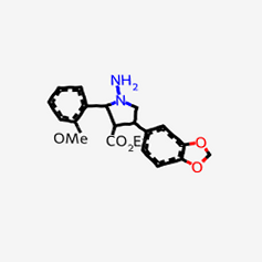 CCOC(=O)C1C(c2ccc3c(c2)OCO3)CN(N)C1c1ccccc1OC